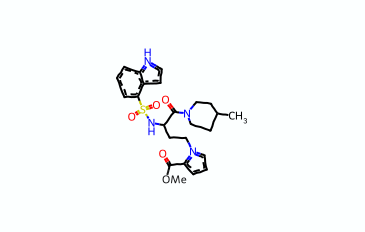 COC(=O)c1cccn1CCC(NS(=O)(=O)c1cccc2[nH]ccc12)C(=O)N1CCC(C)CC1